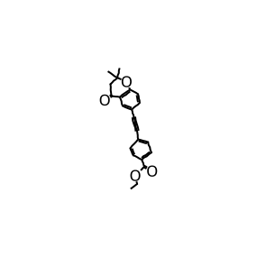 CCOC(=O)c1ccc(C#Cc2ccc3c(c2)C(=O)CC(C)(C)O3)cc1